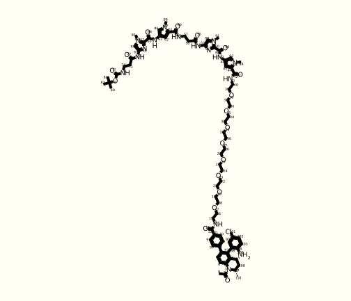 CC(=O)N1c2ccc(-c3ccc(C(=O)NCCOCCOCCOCCOCCOCCOCCOCCOCCNC(=O)c4cc(NC(=O)c5nc(NC(=O)CCNC(=O)c6cc(NC(=O)c7nc(NC(=O)CCNC(=O)OC(C)(C)C)cn7C)cn6C)cn5C)cn4C)cc3)c(-c3cc(Cl)ccc3N)c2CC[C@@H]1C